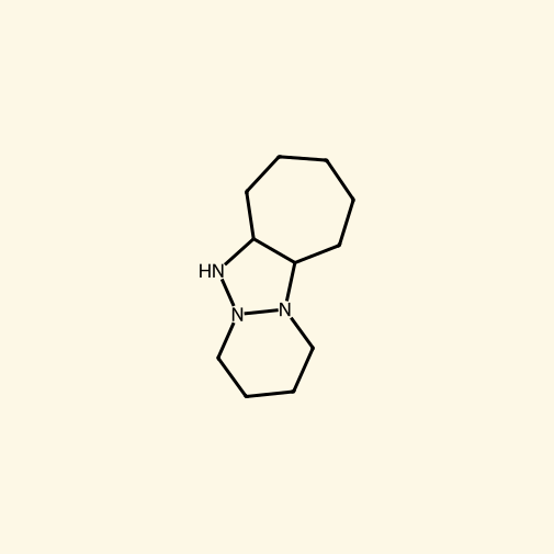 C1CCC2NN3CCCCN3C2CC1